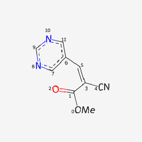 COC(=O)C(C#N)=Cc1cncnc1